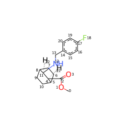 COC(=O)[C@H]1C2CCC(CC2)[C@H]1NCc1ccc(F)cc1